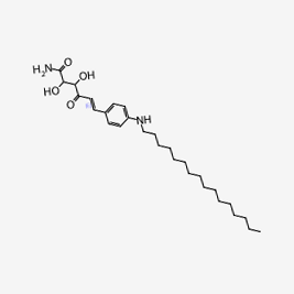 CCCCCCCCCCCCCCCCNc1ccc(/C=C/C(=O)C(O)C(O)C(N)=O)cc1